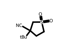 CC(C)(C)C1(C#N)CCS(=O)(=O)C1